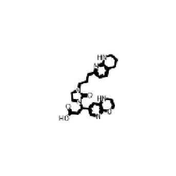 O=C(O)CC(c1cnc2c(c1)NCCO2)N1CCN(CCCc2ccc3c(n2)NCCC3)C1=O